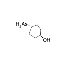 O[C@H]1CC[C@H]([AsH2])CC1